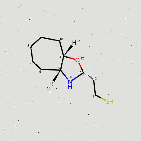 SCC[C@@H]1N[C@@H]2CCCCC[C@@H]2O1